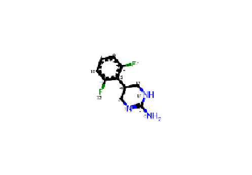 NC1=NCC(c2c(F)cccc2F)CN1